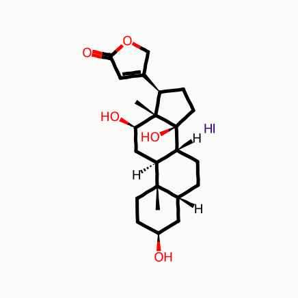 C[C@]12CC[C@H](O)C[C@H]1CC[C@@H]1[C@@H]2C[C@@H](O)[C@]2(C)[C@@H](C3=CC(=O)OC3)CC[C@]12O.I